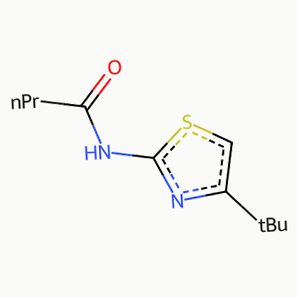 CCCC(=O)Nc1nc(C(C)(C)C)cs1